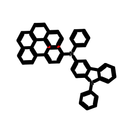 c1ccc(N(c2ccc(-c3cccc4ccc5ccc6ccccc6c5c34)cc2)c2ccc3c(c2)c2ccccc2n3-c2ccccc2)cc1